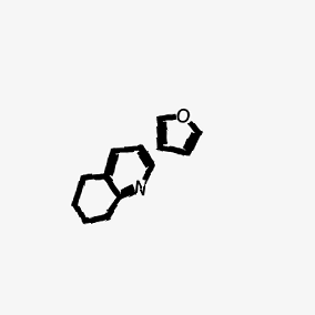 c1ccoc1.c1cnc2c(c1)CCCC2